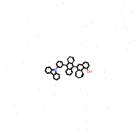 Oc1cccc2cc(-c3c4c(c(-c5cccc(-n6c7ccccc7c7ccccc76)c5)c5ccccc35)CCC=C4)c3c(c12)C#CCC=C3